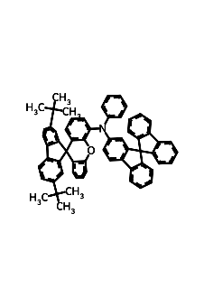 CC(C)(C)c1ccc2c(c1)C1(c3ccccc3Oc3c(N(c4ccccc4)c4ccc5c(c4)C4(c6ccccc6-c6ccccc64)c4ccccc4-5)cccc31)c1cc(C(C)(C)C)ccc1-2